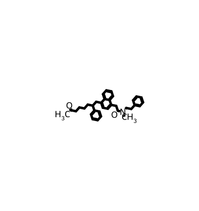 CC(=O)CCCCC(Cc1ccc(CC(=O)N(C)CCc2ccccc2)c2ccccc12)c1ccccc1